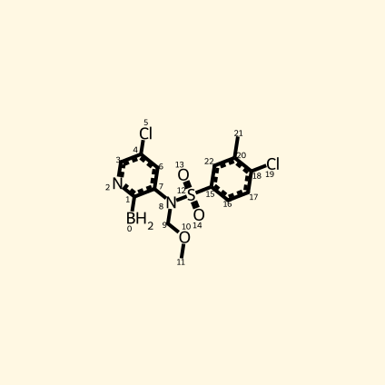 Bc1ncc(Cl)cc1N(COC)S(=O)(=O)c1ccc(Cl)c(C)c1